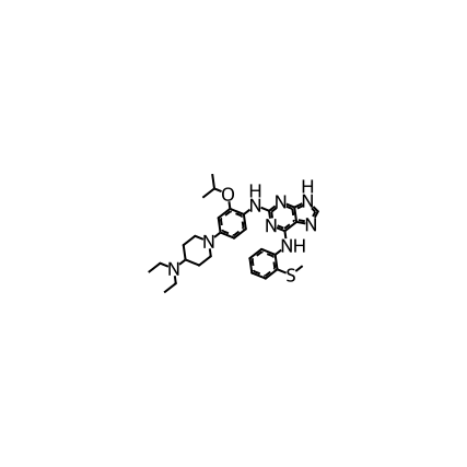 CCN(CC)C1CCN(c2ccc(Nc3nc(Nc4ccccc4SC)c4nc[nH]c4n3)c(OC(C)C)c2)CC1